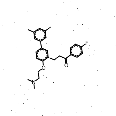 Cc1cc(C)cc(-c2ccc(OCCN(C)C)c(CCC(=O)c3ccc(F)cc3)c2)c1